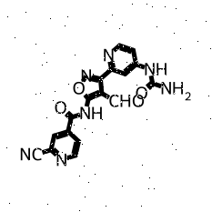 N#Cc1cc(C(=O)Nc2onc(-c3cc(NC(N)=O)ccn3)c2C=O)ccn1